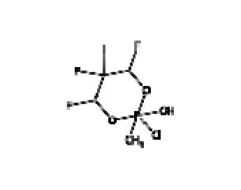 CP1(O)(Cl)OC(F)C(F)(I)C(F)O1